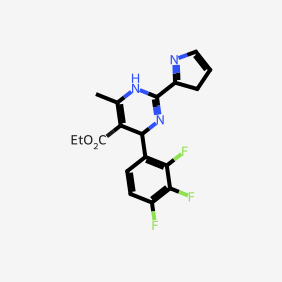 CCOC(=O)C1=C(C)NC(C2=NC=CC2)=NC1c1ccc(F)c(F)c1F